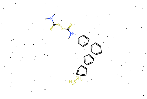 CN(C)C(=S)SSC(=S)N(C)C.S.S.c1ccccc1.c1ccccc1.c1ccccc1.c1ccccc1